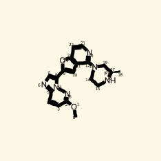 COc1ccc2ncc(-c3cc4c(N5CCN[C@H](C)C5)nccc4o3)n2n1